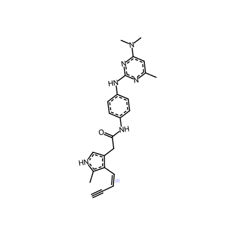 C#C/C=C\c1c(CC(=O)Nc2ccc(Nc3nc(C)cc(N(C)C)n3)cc2)c[nH]c1C